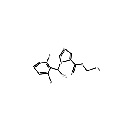 CCOC(=O)c1cncn1C(C)c1c(F)cccc1F